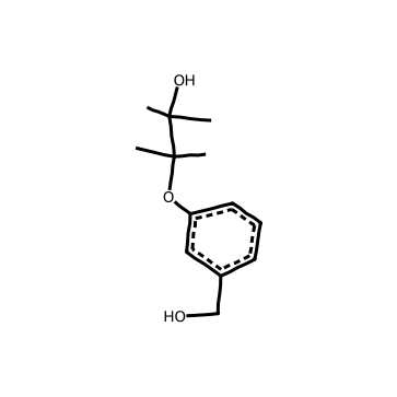 CC(C)(O)C(C)(C)Oc1cccc(CO)c1